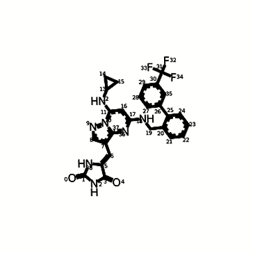 O=C1NC(=O)C(=Cc2cnn3c(NC4CC4)cc(NCc4ccccc4-c4cccc(C(F)(F)F)c4)nc23)N1